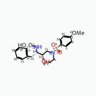 COc1ccc(S(=O)(=O)N(CC(C)C)C[C@@H](O)[C@H](Cc2ccccc2)NC(=O)O)cc1